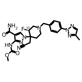 COC(=O)Nc1nn(C2(CC#N)CCN(Cc3ccc(-n4ncc(C)n4)cc3)C[C@@H]2F)cc1C(N)=O